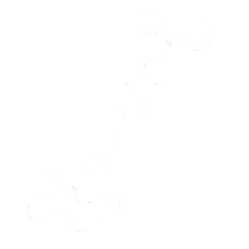 CC1(C)c2cc(/C=C/c3ccc(N(c4cccc5ccccc45)c4cccc5ccccc45)cc3)ccc2-c2ccc(N(c3ccccc3)c3ccccc3)cc21